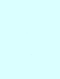 ClC1CC(Cl)CC(C2C3CCCCC3=C(C3=CCCCC3)C3CCCCC32)C1